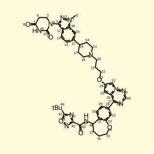 Cn1nc(N2CCC(=O)NC2=O)c2ccc(C3CCN(CCCOc4cc5c(-c6ccc7c(c6)OCCCC7NC(=O)c6noc(C(C)(C)C)n6)ncnn5c4)CC3)cc21